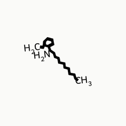 C=Cc1ccccc1C(N)CCCCCCCCCCC